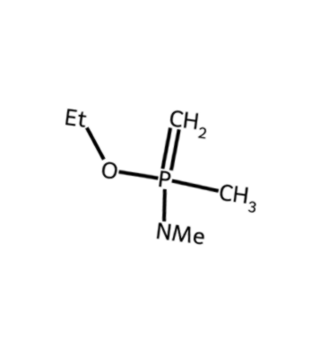 C=P(C)(NC)OCC